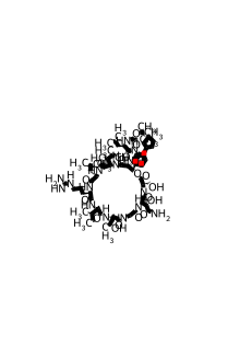 CC[C@H](C)[C@@H]1NC(=O)[C@@H](CCCNC(=N)N)NC(=O)[C@H](CC(C)C)NC(=O)[C@H]([C@H](O)C(C)C)NC(=O)[C@@H](NC(=O)[C@H](CC2CCCC2)NC(=O)[C@@H](CC(C)C)NC(=O)OC(C)(C)C)[C@@H](c2ccccc2)OC(=O)[C@H](CO)NC(=O)[C@H]([C@H](O)C(N)=O)NC(=O)CNC(=O)[C@H]([C@H](C)O)NC1=O